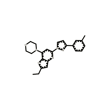 CCc1cc2nc(-n3ccc(-c4cccc(C)c4)n3)cc(N3CCOCC3)c2s1